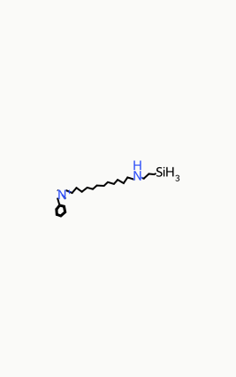 C[N+](C)(CCCCCCCCCCCCCCNCCC[SiH3])Cc1ccccc1